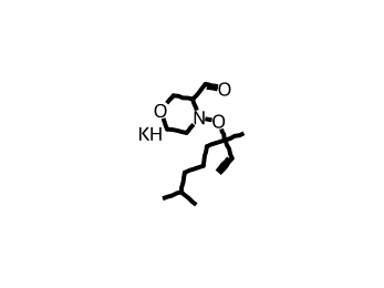 C=CC(C)(CCCC(C)C)ON1CCOCC1C=O.[KH]